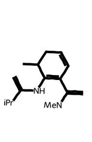 C=C(NC)C1=C(NC(=C)C(C)C)C(C)CC=C1